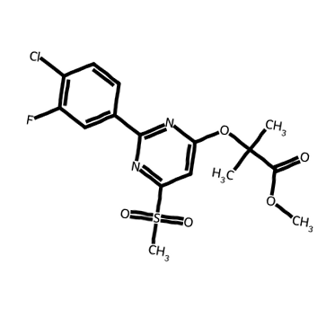 COC(=O)C(C)(C)Oc1cc(S(C)(=O)=O)nc(-c2ccc(Cl)c(F)c2)n1